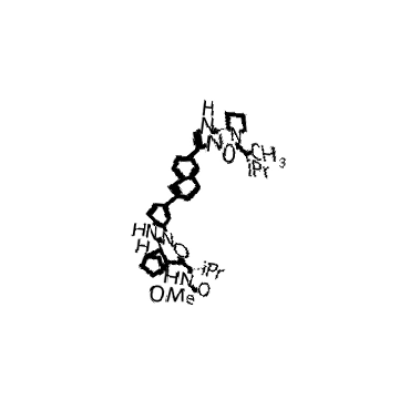 COC(=O)N[C@H](C(=O)C1C2CC[C@@H](C2)[C@H]1c1nc2cc(-c3ccc4cc(-c5c[nH]c([C@@H]6CCCN6C(=O)[C@@H](C)C(C)C)n5)ccc4c3)ccc2[nH]1)C(C)C